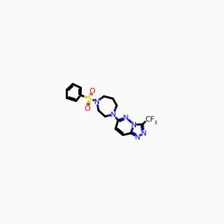 O=S(=O)(c1ccccc1)N1CCCN(c2ccc3nnc(C(F)(F)F)n3n2)CC1